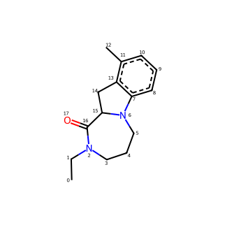 CCN1CCCN2c3cccc(C)c3CC2C1=O